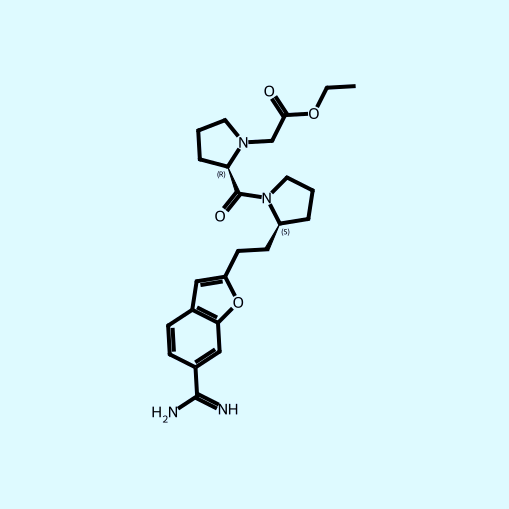 CCOC(=O)CN1CCC[C@@H]1C(=O)N1CCC[C@H]1CCc1cc2ccc(C(=N)N)cc2o1